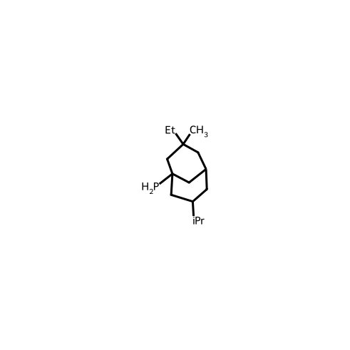 CCC1(C)CC2CC(C(C)C)CC(P)(C2)C1